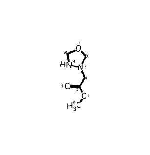 COC(=O)CN1COCN1